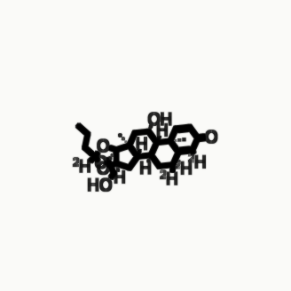 [2H]C1=C2C([2H])([2H])C[C@@H]3[C@H]([C@@H](O)C[C@@]4(C)[C@H]3C[C@H]3OC([2H])(CCC)O[C@]34C(=O)CO)[C@@]2(C)C=CC1=O